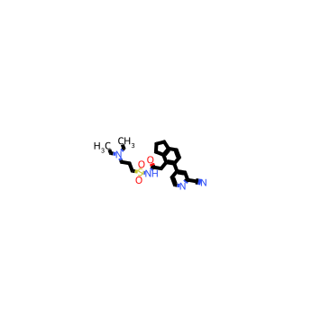 CCN(CC)CCCS(=O)(=O)NC(=O)Cc1c(-c2ccnc(C#N)c2)ccc2c1CCC2